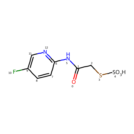 O=C(CSS(=O)(=O)O)Nc1ccc(F)cn1